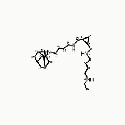 CCNCCCCNCC1CC1CNCCCCNC12CC3CC(CC(C3)C1)C2